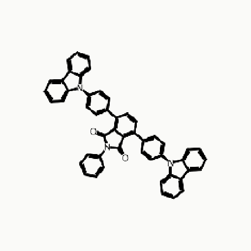 O=C1c2c(-c3ccc(-n4c5ccccc5c5ccccc54)cc3)ccc(-c3ccc(-n4c5ccccc5c5ccccc54)cc3)c2C(=O)N1c1ccccc1